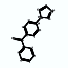 S=C(c1ccccc1)c1ccc(-n2ccnc2)cc1